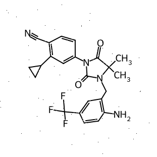 CC1(C)C(=O)N(c2ccc(C#N)c(C3CC3)c2)C(=O)N1Cc1cc(C(F)(F)F)ccc1N